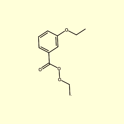 [CH2]COOC(=O)c1cccc(OCC)c1